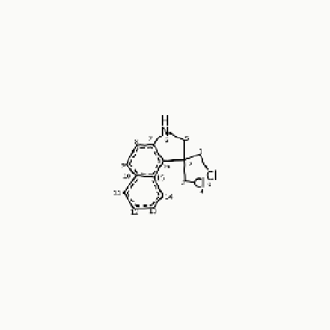 ClCC1(CCl)CNc2ccc3ccccc3c21